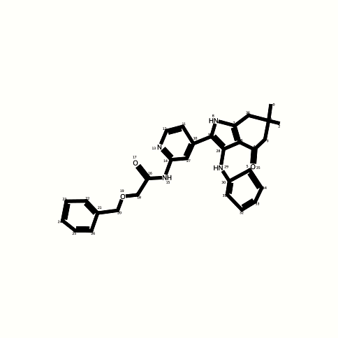 CC1(C)CC(=O)c2c([nH]c(-c3ccnc(NC(=O)COCc4ccccc4)c3)c2Nc2ccccc2)C1